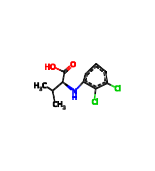 CC(C)[C@H](Nc1cccc(Cl)c1Cl)C(=O)O